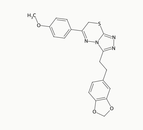 COc1ccc(C2=Nn3c(CCc4ccc5c(c4)OCO5)nnc3SC2)cc1